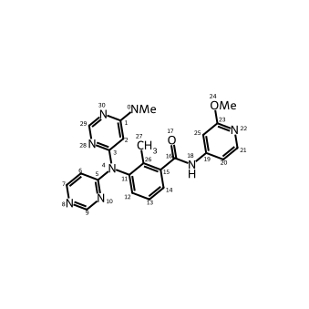 CNc1cc(N(c2ccncn2)c2cccc(C(=O)Nc3ccnc(OC)c3)c2C)ncn1